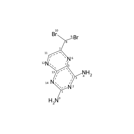 Nc1nc(N)c2nc(C(Br)Br)cnc2n1